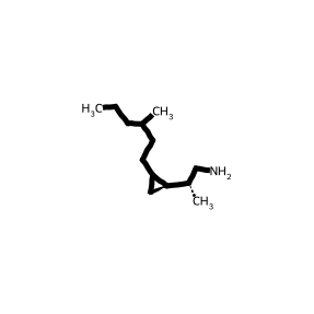 CCCC(C)CCC1C[C@@H]1[C@@H](C)CN